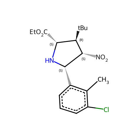 CCOC(=O)[C@H]1N[C@@H](c2cccc(Cl)c2C)[C@@H]([N+](=O)[O-])[C@@H]1C(C)(C)C